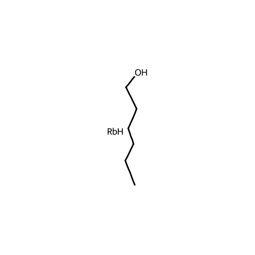 CCCCCCO.[RbH]